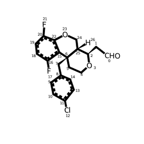 O=CC[C@H]1OCC[C@]2(Cc3ccc(Cl)cc3)c3c(F)ccc(F)c3OC[C@H]12